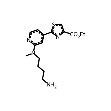 CCOC(=O)c1csc(-c2ccnc(N(C)CCCCN)c2)n1